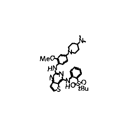 COc1cc(N2CCC(N(C)C)CC2)ccc1Nc1nc(Nc2ccccc2S(=O)(=O)C(C)(C)C)c2sccc2n1